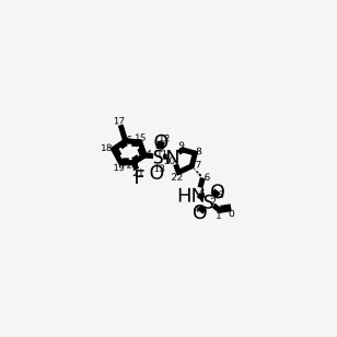 C=CS(=O)(=O)NC[C@H]1CCN(S(=O)(=O)c2cc(C)ccc2F)C1